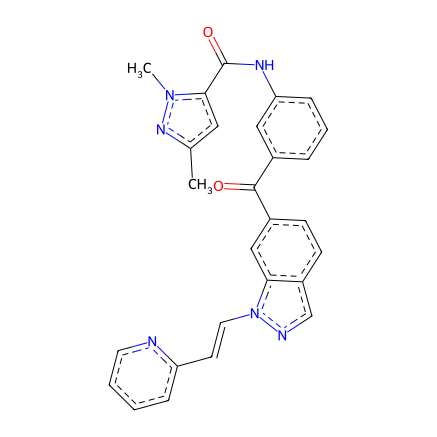 Cc1cc(C(=O)Nc2cccc(C(=O)c3ccc4cnn(C=Cc5ccccn5)c4c3)c2)n(C)n1